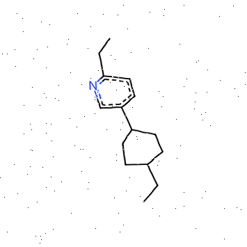 CCc1ccc(C2CCC(CC)CC2)cn1